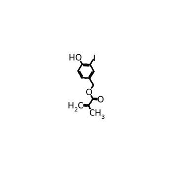 C=C(C)C(=O)OCc1ccc(O)c(I)c1